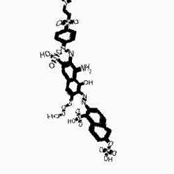 CN(C)CCS(=O)(=O)c1ccc(N=Nc2c(S(=O)(=O)O)cc3cc(SOOO)c(N=Nc4ccc5cc(OS(=O)(=O)O)ccc5c4S(=O)(=O)O)c(O)c3c2N)cc1